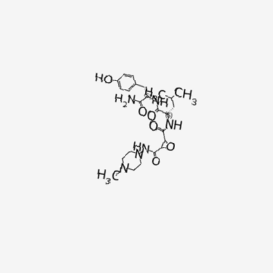 CC(C)C[C@H](NC(=O)C1OC1C(=O)NN1CCN(C)CC1)C(=O)N[C@@H](Cc1ccc(O)cc1)C(N)=O